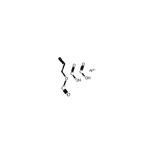 C=CCO[C-]=O.O=[C-]O.O=[C-]O.[Al+3]